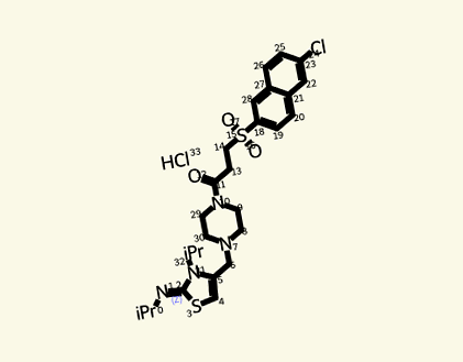 CC(C)/N=c1\scc(CN2CCN(C(=O)CCS(=O)(=O)c3ccc4cc(Cl)ccc4c3)CC2)n1C(C)C.Cl